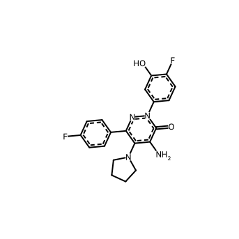 Nc1c(N2CCCC2)c(-c2ccc(F)cc2)nn(-c2ccc(F)c(O)c2)c1=O